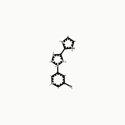 Brc1cncc(-n2nnc(-c3ncc[nH]3)n2)c1